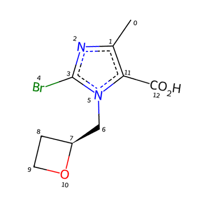 Cc1nc(Br)n(C[C@@H]2CCO2)c1C(=O)O